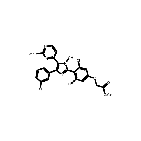 COC(=O)COc1cc(Cl)c(-c2nc(-c3cccc(Cl)c3)c(-c3ccnc(SC)n3)n2O)c(Cl)c1